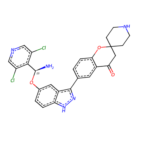 N[C@@H](Oc1ccc2[nH]nc(-c3ccc4c(c3)C(=O)CC3(CCNCC3)O4)c2c1)c1c(Cl)cncc1Cl